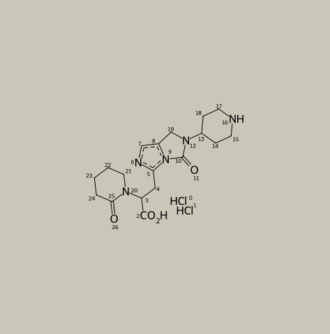 Cl.Cl.O=C(O)C(Cc1ncc2n1C(=O)N(C1CCNCC1)C2)N1CCCCC1=O